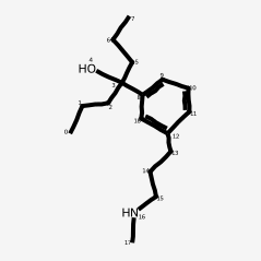 CCCC(O)(CCC)c1cccc(CCCNC)c1